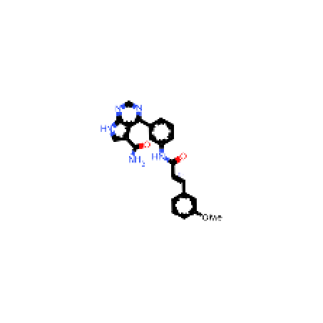 COc1cccc(/C=C/C(=O)Nc2cccc(-c3ncnc4[nH]cc(C(N)=O)c34)c2)c1